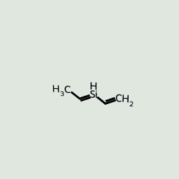 C=C[SiH]=CC